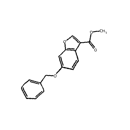 COC(=O)c1coc2cc(OCc3ccccc3)ccc12